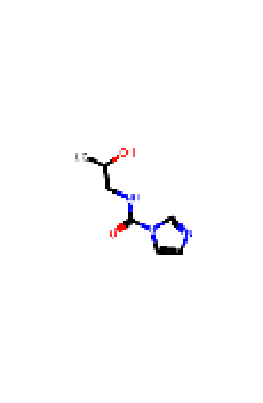 CC(O)CNC(=O)n1ccnc1